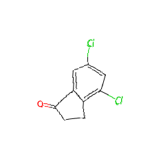 O=C1CCc2c(Cl)cc(Cl)cc21